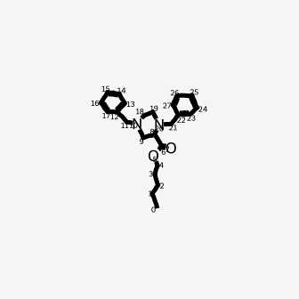 CCCCCOC(=O)C1CN(Cc2ccccc2)CCN1Cc1ccccc1